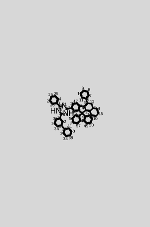 C1=CC2=C3C(=C(c4ccccc4)CC2C=C1)c1ccc(C2=NC(c4ccccc4)NC(c4cccc(-c5ccccc5)c4)N2)cc1C3(c1ccccc1)c1ccccc1